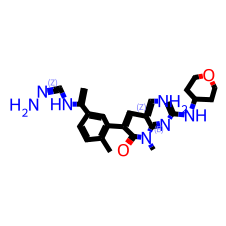 C=C(/N=C1\C(=C/N)C=C(c2cc(C(=C)N/C=N\N)ccc2C)C(=O)N1C)NC1CCOCC1